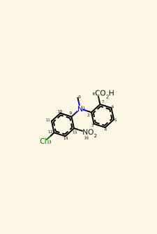 CN(c1ccccc1C(=O)O)c1ccc(Cl)cc1[N+](=O)[O-]